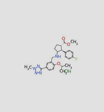 COC(=O)[C@H]1CC[C@H](NCc2cc(-c3nnn(C)n3)ccc2OC(C)C)[C@@H]1c1ccc(F)cc1.Cl